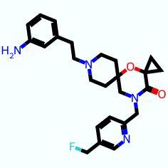 Nc1cccc(CCN2CCC3(CC2)CN(Cc2ccc(CF)cn2)C(=O)C2(CC2)O3)c1